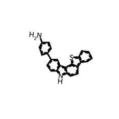 Nc1ccc(-c2ccc3[nH]c4ccc5c6ccccc6sc5c4c3c2)cc1